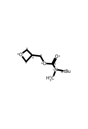 CN(C(=O)OCC1COC1)C(C)(C)C